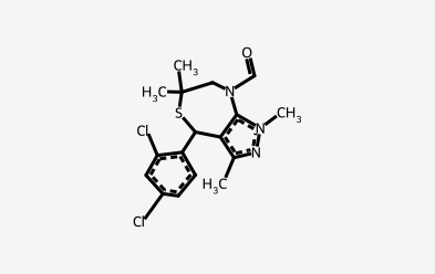 Cc1nn(C)c2c1C(c1ccc(Cl)cc1Cl)SC(C)(C)CN2C=O